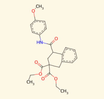 CCOC(=O)C1(C(=O)OCC)Cc2ccccc2C(C(=O)Nc2ccc(OC)cc2)C1